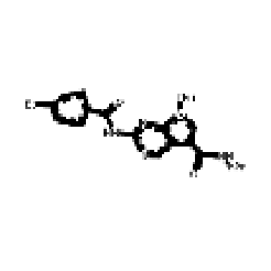 CCCNC(=O)c1cn(C(C)(C)C)c2nc(NC(=O)c3ccc(CC)cc3)ncc12